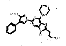 CCn1c(CCC(=O)O)nc2c(N3CCOCC3)nc(-n3cc(-c4ccccc4)c(OC)n3)nc21